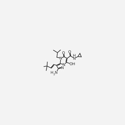 CC(C)Cn1c(=O)c(C(=O)NC2CC2)c(O)n2nc(N)c(/C=C/C(C)(C)C)c12